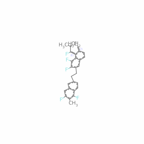 C=C(C)/C(F)=c1\c(=C/C)ccc2cc(CCc3ccc4c(F)c(C)c(F)cc4c3)c(F)c(F)c12